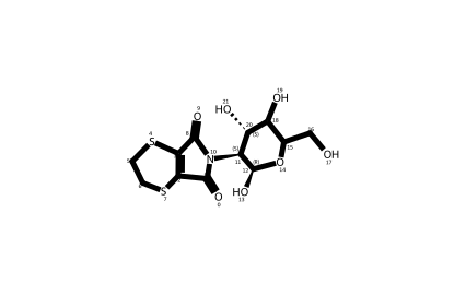 O=C1C2=C(SCCS2)C(=O)N1[C@@H]1[C@H](O)OC(CO)C(O)[C@H]1O